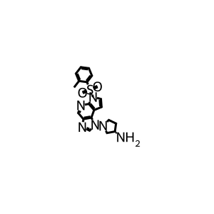 Cc1ccccc1S(=O)(=O)n1ccc2c3c(cnc21)ncn3N1CC[C@@H](N)C1